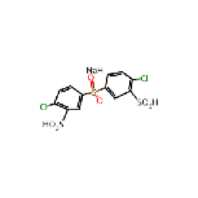 O=S(=O)(O)c1cc(S(=O)(=O)c2ccc(Cl)c(S(=O)(=O)O)c2)ccc1Cl.[NaH]